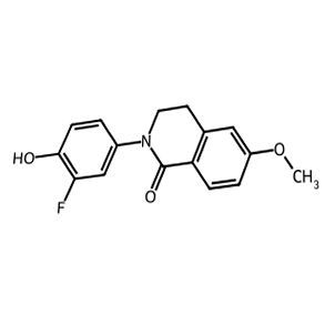 COc1ccc2c(c1)CCN(c1ccc(O)c(F)c1)C2=O